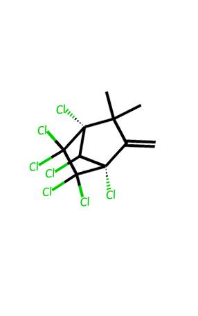 C=C1C(C)(C)[C@@]2(Cl)C(Cl)[C@]1(Cl)C(Cl)(Cl)C2(Cl)Cl